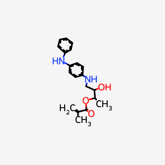 C=C(C)C(=O)OC(C)C(O)CNc1ccc(Nc2ccccc2)cc1